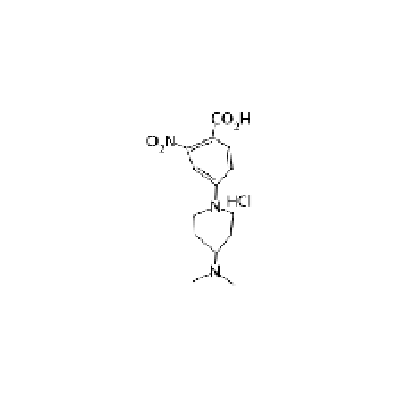 CN(C)C1CCN(c2ccc(C(=O)O)c([N+](=O)[O-])c2)CC1.Cl